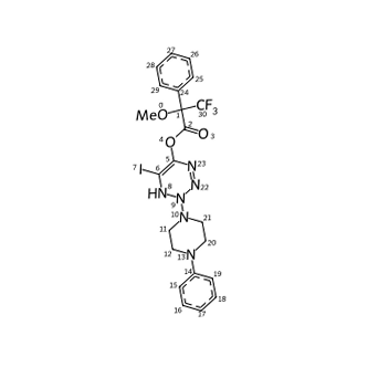 COC(C(=O)OC1=C(I)NN(N2CCN(c3ccccc3)CC2)N=N1)(c1ccccc1)C(F)(F)F